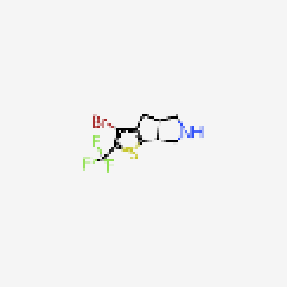 FC(F)(F)c1sc2c(c1Br)CC1CNCC21